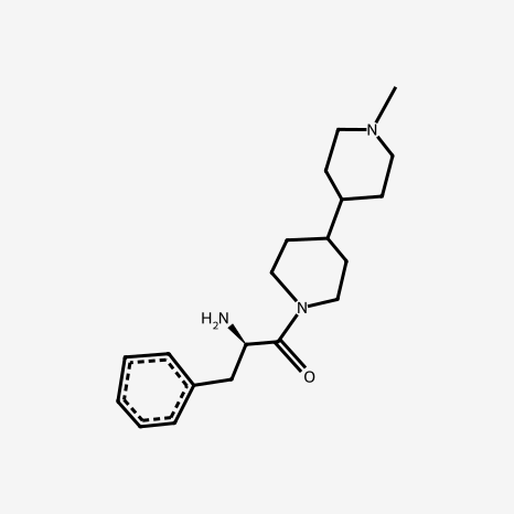 CN1CCC(C2CCN(C(=O)[C@H](N)Cc3ccccc3)CC2)CC1